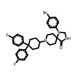 O=C1NCN(c2ccc(Br)cc2)C12CCN(C1CCC(c3ccc(F)cc3)(c3ccc(F)cc3)CC1)CC2